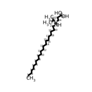 CCCCCCCCCCCCCCCCCCCCCCNN(CCC(O)O)C(C)C